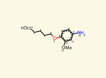 CCCCCCCCCCCCOc1ccc(N)cc1OC